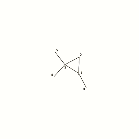 C[C]1CC1(C)C